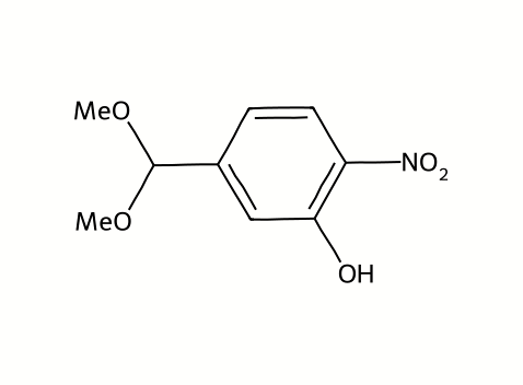 COC(OC)c1ccc([N+](=O)[O-])c(O)c1